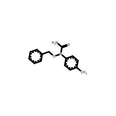 Cc1ccc(N(OCc2ccccc2)C(N)=O)cc1